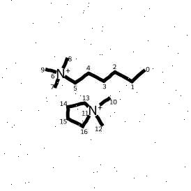 CCCCCC[N+](C)(C)C.C[N+]1(C)CCCC1